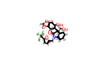 O=C1N(Cc2ccc(C(F)(F)F)o2)c2ccccc2[C@@]1(CO)C1CC2=C(C=C1O)OCO2